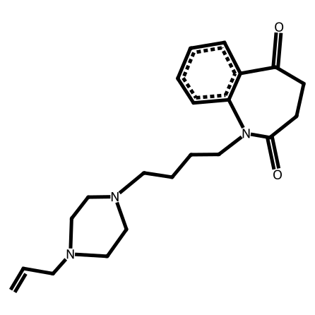 C=CCN1CCN(CCCCN2C(=O)CCC(=O)c3ccccc32)CC1